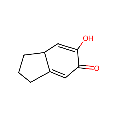 O=C1C=C2CCCC2C=C1O